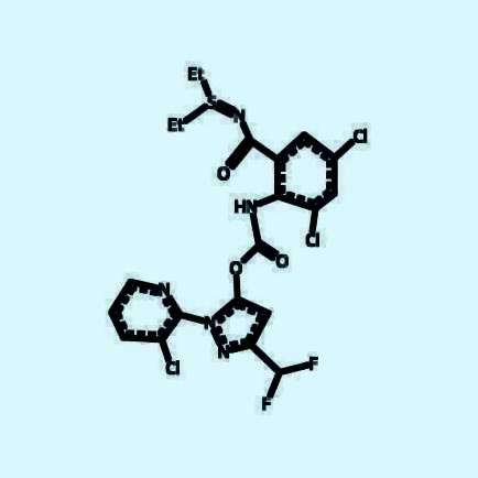 CCS(CC)=NC(=O)c1cc(Cl)cc(Cl)c1NC(=O)Oc1cc(C(F)F)nn1-c1ncccc1Cl